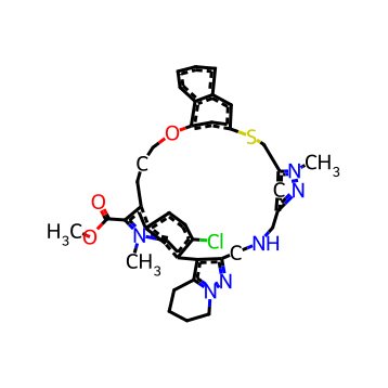 COC(=O)c1c2c3ccc(Cl)c(c3n1C)-c1c(nn3c1CCCC3)CNCc1cc(n(C)n1)CSc1cc(c3ccccc3c1)OCCC2